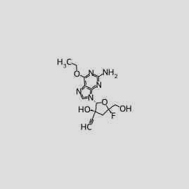 C#C[C@@]1(O)C[C@@](F)(CO)O[C@H]1n1cnc2c(OCC)nc(N)nc21